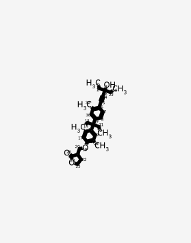 CCC(O)(C#Cc1ccc(C(CC)(CC)c2ccc(OCC3CCOC3=O)c(C)c2)cc1C)CC